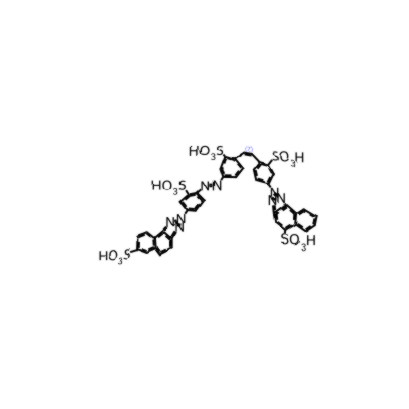 O=S(=O)(O)c1ccc2c(ccc3c2n2n(-c4ccc(N=Nc5ccc(/C=C\c6ccc(-n7n8c9cc(S(=O)(=O)O)c%10ccccc%10c9n78)cc6S(=O)(=O)O)c(S(=O)(=O)O)c5)c(S(=O)(=O)O)c4)n32)c1